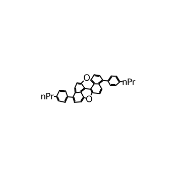 CCCc1ccc(-c2ccc3oc4ccc5c(-c6ccc(CCC)cc6)ccc6oc7ccc2c3c7-c4c65)cc1